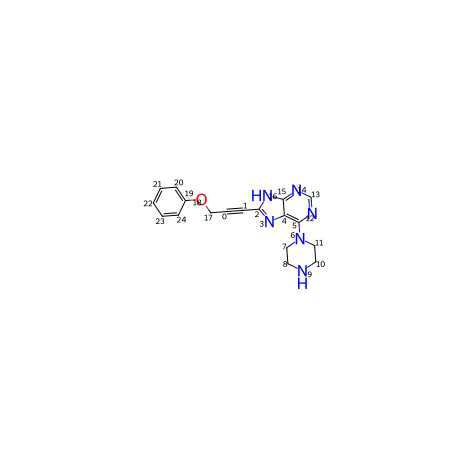 C(#Cc1nc2c(N3CCNCC3)ncnc2[nH]1)COc1ccccc1